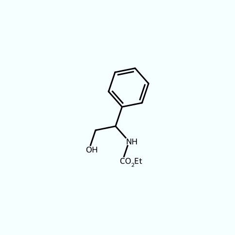 CCOC(=O)NC(CO)c1ccccc1